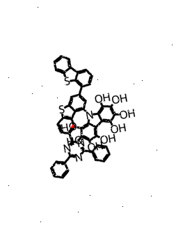 Oc1c(O)c(O)c2c(c1O)c1c(O)c(O)c(O)c(O)c1n2-c1cc(-c2cccc3c2sc2ccccc23)cc2sc3ccc(-c4nc(-c5ccccc5)nc(-c5ccccc5)n4)cc3c12